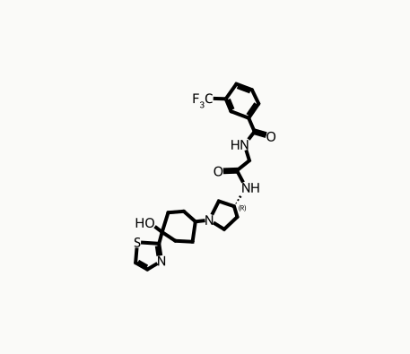 O=C(CNC(=O)c1cccc(C(F)(F)F)c1)N[C@@H]1CCN(C2CCC(O)(c3nccs3)CC2)C1